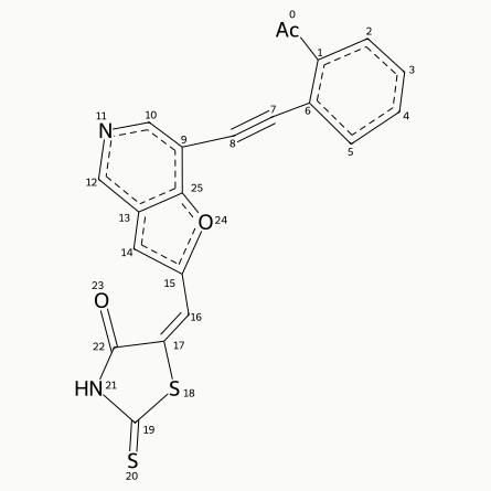 CC(=O)c1ccccc1C#Cc1cncc2cc(C=C3SC(=S)NC3=O)oc12